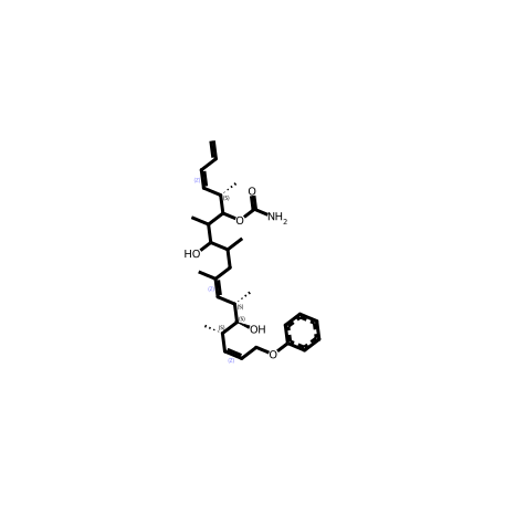 C=C/C=C\[C@H](C)C(OC(N)=O)C(C)C(O)C(C)C/C(C)=C\[C@H](C)[C@@H](O)[C@@H](C)/C=C\COc1ccccc1